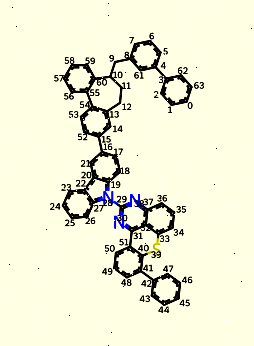 c1ccc(-c2cccc(CC3CCc4cc(-c5ccc6c(c5)c5ccccc5n6-c5nc6c7c(cccc7n5)Sc5c(-c7ccccc7)cccc5-6)ccc4-c4ccccc43)c2)cc1